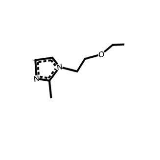 CCOCCn1c[c]nc1C